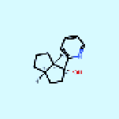 O[C@]1(c2ccccn2)CC[C@@H]2CCC[C@H]21